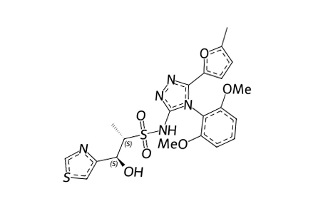 COc1cccc(OC)c1-n1c(NS(=O)(=O)[C@@H](C)[C@@H](O)c2cscn2)nnc1-c1ccc(C)o1